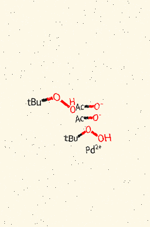 CC(=O)[O-].CC(=O)[O-].CC(C)(C)OO.CC(C)(C)OO.[Pd+2]